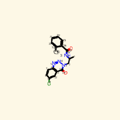 CC(Cn1nnc2ccc(Cl)cc2c1=O)NC(=O)c1ccccc1C(F)(F)F